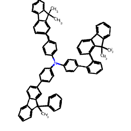 CC1(C)c2ccccc2-c2ccc(-c3ccc(N(c4ccc(-c5ccc6c(c5)C(C)(c5ccccc5)c5ccccc5-6)cc4)c4ccc(-c5ccccc5-c5cccc6c5C(C)(C)c5ccccc5-6)cc4)cc3)cc21